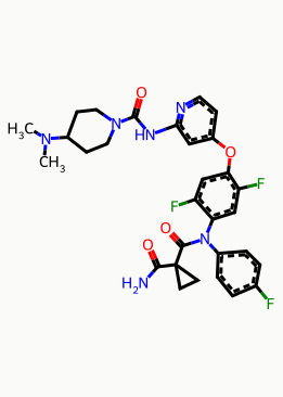 CN(C)C1CCN(C(=O)Nc2cc(Oc3cc(F)c(N(C(=O)C4(C(N)=O)CC4)c4ccc(F)cc4)cc3F)ccn2)CC1